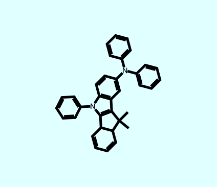 CC1(C)c2c(n(-c3ccccc3)c3ccc(N(c4ccccc4)c4ccccc4)cc23)C2C=CC=CC21